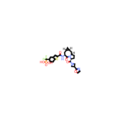 O=C(N[C@H]1C[C@@H]2C[C@@H]2C[C@H]2CC[C@@H](C(=O)N3CC(c4ncco4)C3)N2C1=O)c1cc2cc(C(F)(F)P(=O)(O)O)ccc2s1